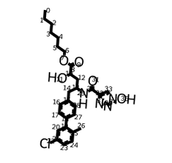 CCCCCCCOC(=O)C(O)CC(Cc1ccc(-c2cc(Cl)ccc2C)cc1)NC(=O)c1cn(O)nn1